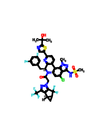 Cn1nc(NS(C)(=O)=O)c2c(Cl)ccc(-c3ccc(-c4cnc(C(C)(C)O)s4)nc3[C@H](Cc3cc(F)cc(F)c3)NC(=O)Cn3nc(C(F)(F)F)c4c3C(F)(F)C3C[C@H]43)c21